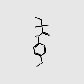 CCC(C)(C)C(=O)Nc1ccc(OC)cc1